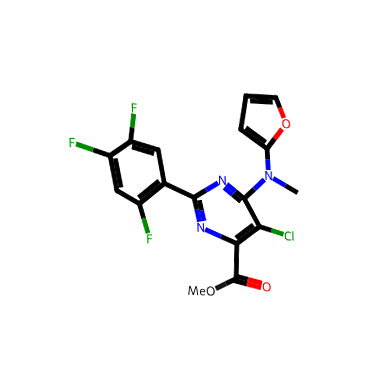 COC(=O)c1nc(-c2cc(F)c(F)cc2F)nc(N(C)c2ccco2)c1Cl